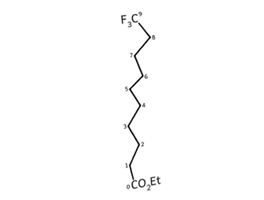 CCOC(=O)CCCCCCCCC(F)(F)F